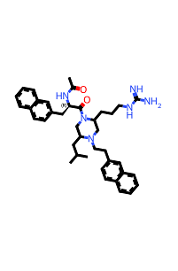 CC(=O)N[C@H](Cc1ccc2ccccc2c1)C(=O)N1CC(CC(C)C)N(CCc2ccc3ccccc3c2)CC1CCCNC(=N)N